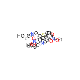 CCOCCN(CCOCC)C(=O)/C=C/c1c(-c2cccc(N3CCC(C(=O)O)CC3)c2)cc(Sc2cc(-c3cccc(N4CCC(C(=O)O)CC4)c3)c(/C=C/C(=O)N(CCOCC)CCOCC)c(C(F)(F)F)c2C(F)(F)F)c(C(F)(F)F)c1C(F)(F)F